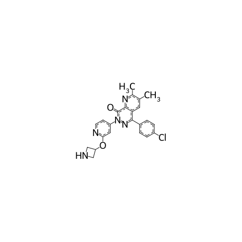 Cc1cc2c(-c3ccc(Cl)cc3)nn(-c3ccnc(OC4CNC4)c3)c(=O)c2nc1C